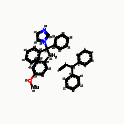 C=CB(c1ccccc1)c1ccccc1.CCCCOc1ccc([SiH2]C(c2ccccc2)(c2ccccc2)n2ccnc2)cc1